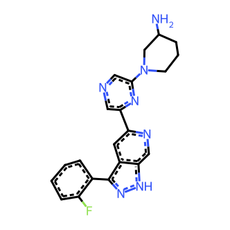 NC1CCCN(c2cncc(-c3cc4c(-c5ccccc5F)n[nH]c4cn3)n2)C1